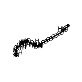 Cn1cc(NC(=O)c2nc(NC(=O)CCNC(=O)c3cc(NC(=O)c4nccn4C)cn3C)cn2C)cc1C(=O)NCCC(=O)Nc1cn(C)c(C(=O)NCc2cn(CCOCCOCCOCCOCCOCCOCCOCCOc3ccc(NC(=O)OCc4ccccc4)cc3)nn2)n1